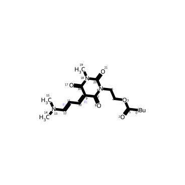 CCC(C)C(=O)OCCN1C(=O)/C(=C/C=C/N(C)C)C(=O)N(C)C1=O